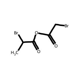 CC(Br)C(=O)OC(=O)CBr